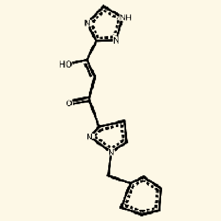 O=C(C=C(O)c1nc[nH]n1)c1ccn(Cc2ccccc2)n1